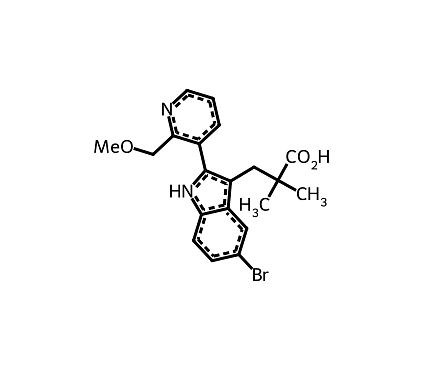 COCc1ncccc1-c1[nH]c2ccc(Br)cc2c1CC(C)(C)C(=O)O